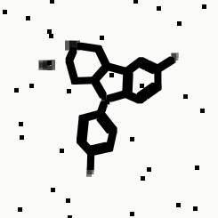 Cl.Fc1ccc(N2c3ccc(F)cc3C3CNCCC32)cc1